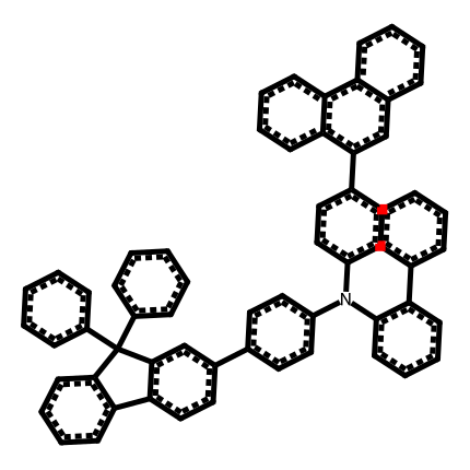 c1ccc(-c2ccccc2N(c2ccc(-c3ccc4c(c3)C(c3ccccc3)(c3ccccc3)c3ccccc3-4)cc2)c2ccc(-c3cc4ccccc4c4ccccc34)cc2)cc1